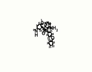 CNc1ccc(OC)c(-n2c(=O)n(-c3ccc(Oc4ccccc4)cc3)c3c(N)ncnc32)c1